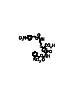 O=C(NCCSC1=C(C(=O)O)N2C(=O)C(NC(=O)OCc3ccccc3[N+](=O)[O-])C2C1)OCc1ccc([N+](=O)[O-])cc1